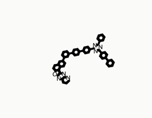 c1ccc(-c2ccc(-c3nc(-c4ccccc4)nc(-c4ccc(-c5ccc(-c6cccc(-c7ccc8c(ccc9oc%10nc%11cccnc%11nc%10c98)c7)c6)cc5)cc4)n3)cc2)cc1